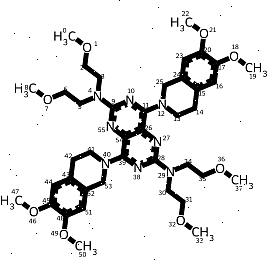 COCCN(CCOC)c1nc(N2CCc3cc(OC)c(OC)cc3C2)c2nc(N(CCOC)CCOC)nc(N3CCc4cc(OC)c(OC)cc4C3)c2n1